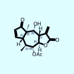 C=C1C(=O)O[C@H]2[C@H](OC(C)=O)[C@@H](C)[C@@H]3C=CC(=O)[C@@]3(C)[C@H](O)[C@H]12